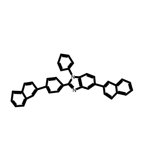 c1ccc(-n2c(-c3ccc(-c4ccc5ccccc5c4)cc3)nc3cc(-c4ccc5ccccc5c4)ccc32)cc1